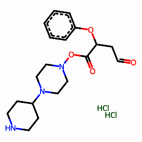 Cl.Cl.O=CCC(Oc1ccccc1)C(=O)ON1CCN(C2CCNCC2)CC1